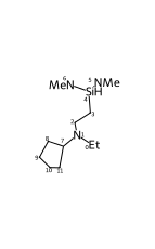 CCN(CC[SiH](NC)NC)C1CCCC1